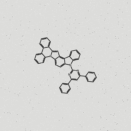 c1ccc(-c2cc(-c3ccccc3)nc(-n3c4ccccc4c4c5cc6c7ccccc7c7ccccc7n6c5ccc43)n2)cc1